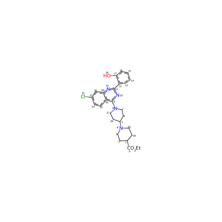 CCOC(=O)C1CCN(C2CCN(c3nc(-c4ccccc4O)nc4cc(Cl)ccc34)CC2)CC1